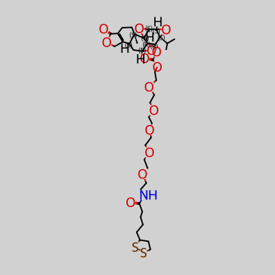 CC(C)[C@]12O[C@H]1[C@@H]1O[C@]13[C@]1(O[C@H]1C[C@H]1C4=C(CC[C@@]13C)C(=O)OC4)[C@@H]2OC(=O)OCCOCCOCCOCCOCCOCCNC(=O)CCCCC1CCSS1